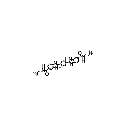 CN(C)CCNC(=O)c1ccc2nc(-c3ccc(-c4nc5ccc(C(=O)NCCN(C)C)cc5[nH]4)cc3)[nH]c2c1